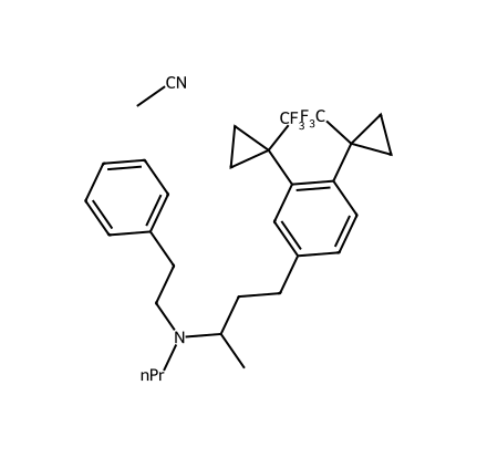 CC#N.CCCN(CCc1ccccc1)C(C)CCc1ccc(C2(C(F)(F)F)CC2)c(C2(C(F)(F)F)CC2)c1